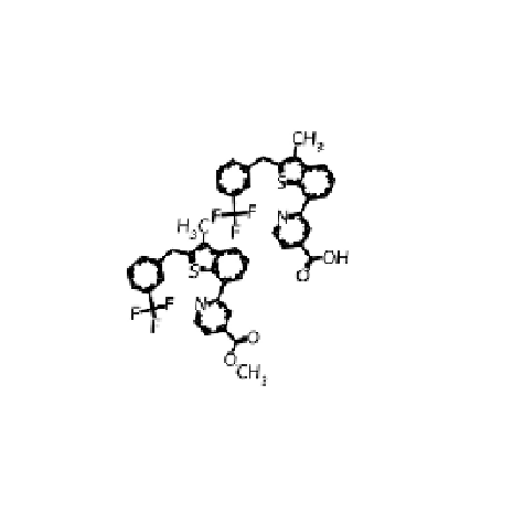 COC(=O)c1ccnc(-c2cccc3c(C)c(Cc4cccc(C(F)(F)F)c4)sc23)c1.Cc1c(Cc2cccc(C(F)(F)F)c2)sc2c(-c3cc(C(=O)O)ccn3)cccc12